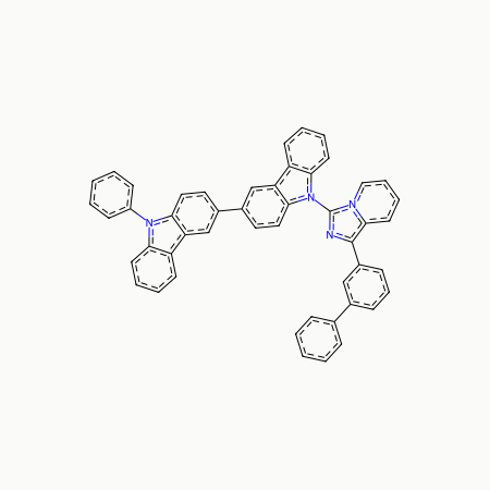 c1ccc(-c2cccc(-c3nc(-n4c5ccccc5c5cc(-c6ccc7c(c6)c6ccccc6n7-c6ccccc6)ccc54)n4ccccc34)c2)cc1